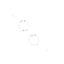 CCCCCc1ccc(-c2ncc(C#N)cn2)cc1